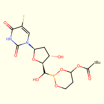 CC(C)(C)C(=O)OC1CCOP(C(O)[C@H]2O[C@@H](n3cc(F)c(=O)[nH]c3=O)C[C@@H]2O)O1